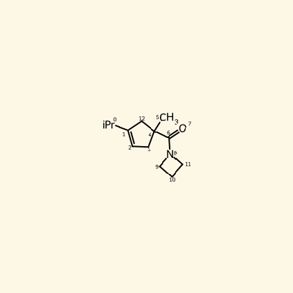 CC(C)C1=CCC(C)(C(=O)N2CCC2)C1